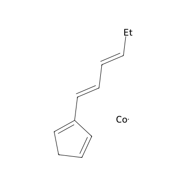 CCC=CC=CC1=CCC=C1.[Co]